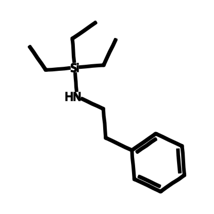 CC[Si](CC)(CC)NCCc1ccccc1